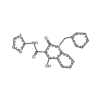 O=C(Nc1nncs1)c1c(O)c2ccccc2n(Cc2ccccc2)c1=O